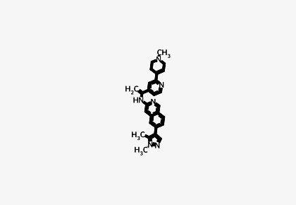 C=C(Nc1cc2cc(-c3cnn(C)c3C)ccc2cn1)c1ccnc(C2=CCN(C)CC2)c1